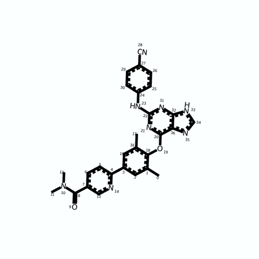 Cc1cc(-c2ccc(C(=O)N(C)C)cn2)cc(C)c1Oc1nc(Nc2ccc(C#N)cc2)nc2[nH]cnc12